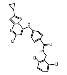 O=C(NCc1c(Cl)cccc1Cl)c1ccc(Nc2cc(Cl)nc3cc(C4CC4)nn23)cc1